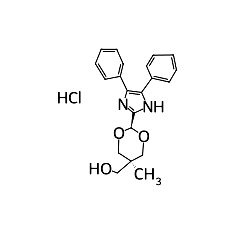 C[C@]1(CO)CO[C@@H](c2nc(-c3ccccc3)c(-c3ccccc3)[nH]2)OC1.Cl